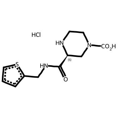 Cl.O=C(NCc1cccs1)[C@@H]1CN(C(=O)O)CCN1